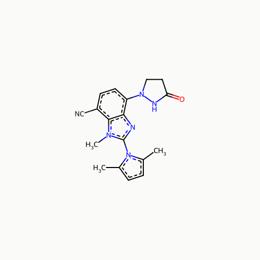 Cc1ccc(C)n1-c1nc2c(N3CCC(=O)N3)ccc(C#N)c2n1C